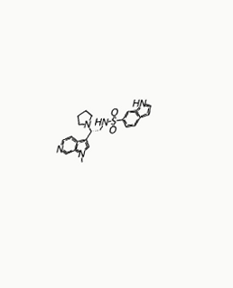 Cn1cc([C@@H](CNS(=O)(=O)c2ccc3cc[nH]c3c2)N2CCCC2)c2ccncc21